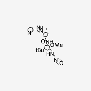 COc1c(CNCCN2CCOCC2)cc(C(C)(C)C)cc1NC(=O)c1ccc(C)c(-n2cc(-c3cccnc3)nn2)c1